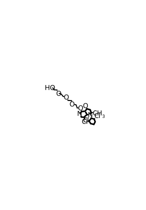 Cc1cc(=O)c2c(OCCOCCOCCOCCO)ncc(Cl)c2n1-c1c(Cl)cccc1Cl